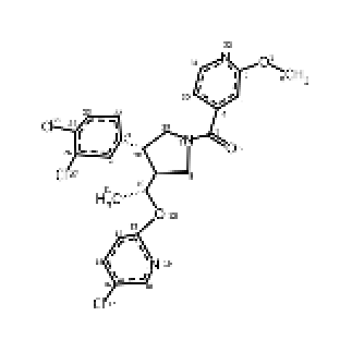 COc1cc(C(=O)N2C[C@@H]([C@@H](C)Oc3ccc(Cl)cn3)[C@H](c3ccc(Cl)c(Cl)c3)C2)ccn1